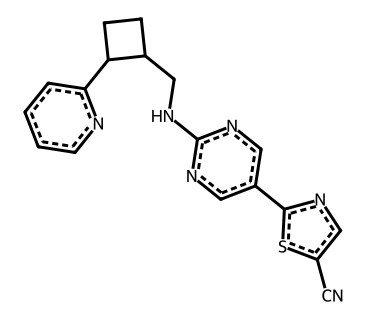 N#Cc1cnc(-c2cnc(NCC3CCC3c3ccccn3)nc2)s1